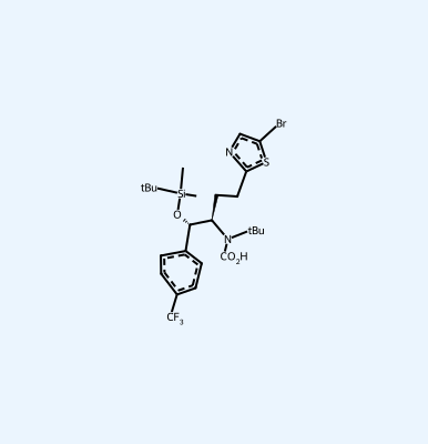 CC(C)(C)N(C(=O)O)[C@H](CCc1ncc(Br)s1)[C@@H](O[Si](C)(C)C(C)(C)C)c1ccc(C(F)(F)F)cc1